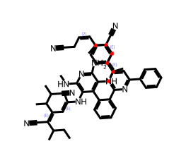 CCC(C)/C(C#N)=C(\C=C(/C)Nc1c(NC)nc(N)c(N/C(C)=C/C=C(/C#N)C(C)/C=C\CC#N)c1-c1ccccc1-c1nc(-c2ccccc2)cc(-c2ccccc2)n1)C(C)C(C)C#N